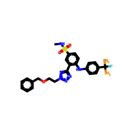 CNS(=O)(=O)c1ccc(Nc2ccc(C(F)(P)P)cc2)c(-c2nnn(CCOCc3ccccc3)n2)c1